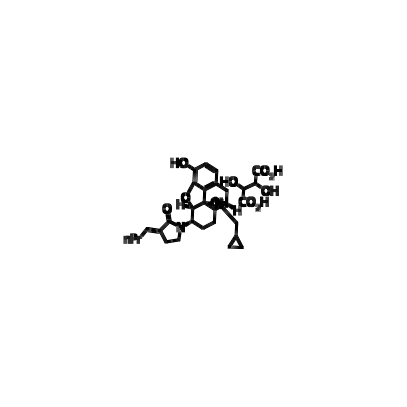 CCC/C=C1\CCN([C@@H]2CC[C@@]3(O)[C@H]4Cc5ccc(O)c6c5[C@@]3(CCN4CC3CC3)[C@H]2O6)C1=O.O=C(O)C(O)C(O)C(=O)O